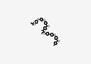 CCC(C)(C)Oc1ccc(Sc2ccc(Oc3ccc(C(=O)c4ccc(C(C)C(C)(CC)Oc5ccc(-c6ccc(Oc7ccc(C(=O)c8ccc(C)cc8)cc7)cc6)cc5)cc4)cc3)cc2)cc1